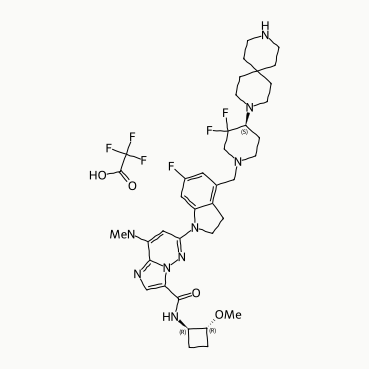 CNc1cc(N2CCc3c(CN4CC[C@H](N5CCC6(CCNCC6)CC5)C(F)(F)C4)cc(F)cc32)nn2c(C(=O)N[C@@H]3CC[C@H]3OC)cnc12.O=C(O)C(F)(F)F